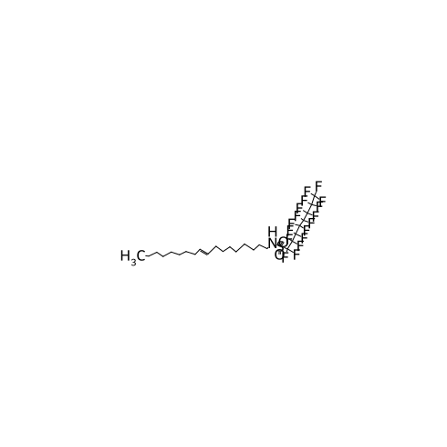 CCCCCCCCC=CCCCCCCCCNS(=O)(=O)C(F)(F)C(F)(F)C(F)(F)C(F)(F)C(F)(F)C(F)(F)C(F)(F)C(F)(F)F